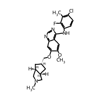 COc1cc2c(Nc3ccc(Cl)c(C)c3F)ncnc2cc1OC[C@@H]1C[C@@H]2CN(C)C[C@@H]2C1